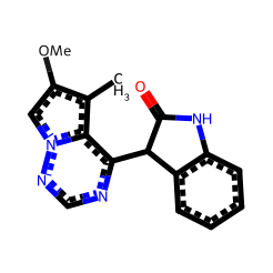 COc1cn2ncnc(C3C(=O)Nc4ccccc43)c2c1C